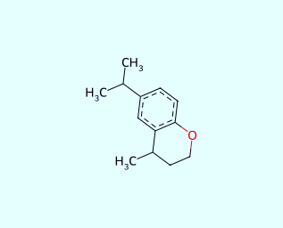 CC(C)c1ccc2c(c1)C(C)CCO2